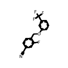 N#Cc1ccc(COc2cccc(C(F)(F)F)c2)c(F)c1